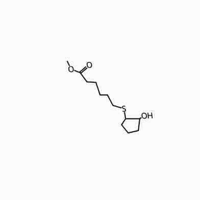 COC(=O)CCCCCSC1CCCC1O